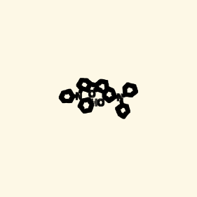 Oc1cc(N(c2ccccc2)c2ccccc2)cc2ccc3c4cccc(N(c5ccccc5)c5ccccc5)c4oc3c12